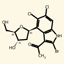 CC(=O)c1c(Br)[nH]c2cc(Cl)c(Cl)c([C@H]3C[C@H](O)[C@@H](CO)O3)c12